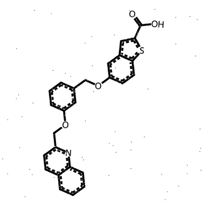 O=C(O)c1cc2cc(OCc3cccc(OCc4ccc5ccccc5n4)c3)ccc2s1